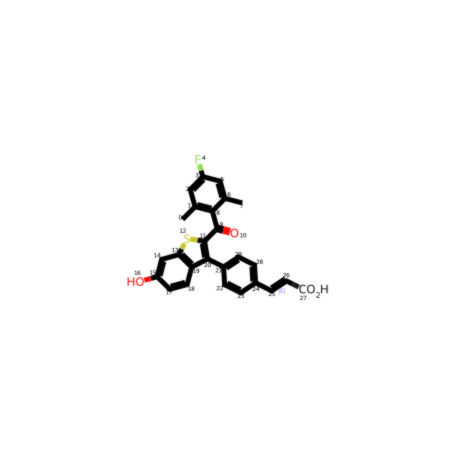 Cc1cc(F)cc(C)c1C(=O)c1sc2cc(O)ccc2c1-c1ccc(/C=C/C(=O)O)cc1